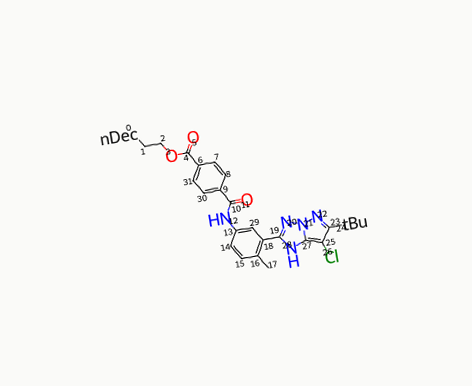 CCCCCCCCCCCCOC(=O)c1ccc(C(=O)Nc2ccc(C)c(-c3nn4nc(C(C)(C)C)c(Cl)c4[nH]3)c2)cc1